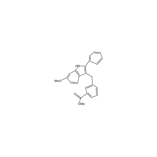 COC(=O)c1cccc(Cc2c(-c3ccccc3)[nH]c3cc(OC)ccc23)c1